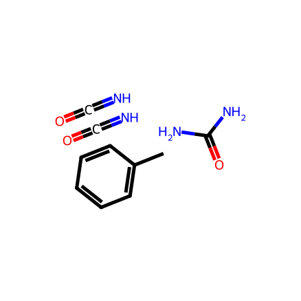 Cc1ccccc1.N=C=O.N=C=O.NC(N)=O